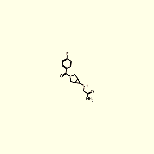 NC(=O)CNC1C2CN(C(=O)c3ccc(F)cc3)CC21